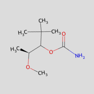 CO[C@@H](C)C(OC(N)=O)C(C)(C)C